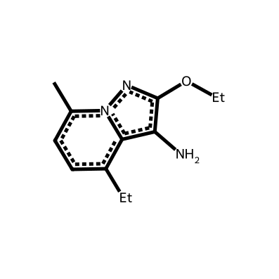 CCOc1nn2c(C)ccc(CC)c2c1N